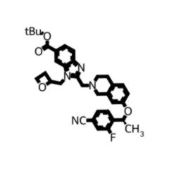 C[C@H](Oc1ccc2c(c1)CN(Cc1nc3ccc(C(=O)OC(C)(C)C)cc3n1CC1CCO1)CC2)c1ccc(C#N)cc1F